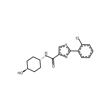 O=C(N[C@H]1CC[C@H](O)CC1)c1csc(-c2ccccc2Cl)n1